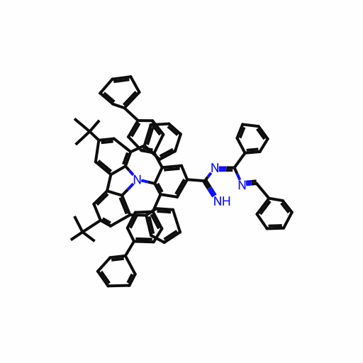 CC(C)(C)c1cc(-c2ccccc2)c2c(c1)c1cc(C(C)(C)C)cc(-c3ccccc3)c1n2-c1c(-c2ccc(-c3ccccc3)cc2)cc(C(=N)/N=C(\N=C\c2ccccc2)c2ccccc2)cc1-c1ccc(-c2ccccc2)cc1